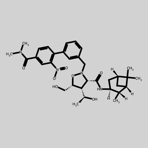 C[C@@H]1[C@@H](NC(=O)[C@@H]2[C@H]([C@H](C)O)[C@H](CO)ON2Cc2cccc(-c3ccc(C(=O)N(C)C)cc3[N+](=O)[O-])c2)C[C@H]2C[C@@H]1C2(C)C